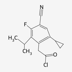 CC(C)c1c(F)c(C#N)cc(C2CC2)c1CC(=O)Cl